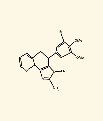 COc1cc(C2CC3=CC=COC3c3nc(N)n(C#N)c32)cc(Br)c1OC